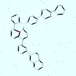 c1ccc(-c2ccccc2N(c2ccc(-c3cccc(-c4ccc5ccccc5c4)c3)cc2)c2ccc(-c3ccc4c(c3)oc3ccccc34)cc2)cc1